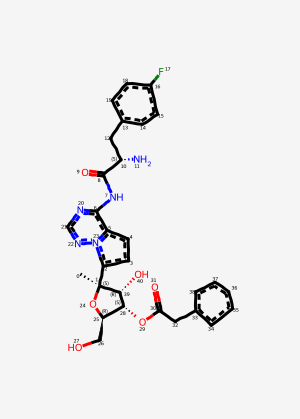 C[C@@]1(c2ccc3c(NC(=O)[C@@H](N)Cc4ccc(F)cc4)ncnn23)O[C@H](CO)[C@@H](OC(=O)Cc2ccccc2)[C@H]1O